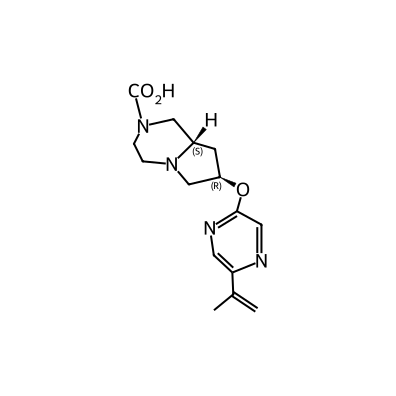 C=C(C)c1cnc(O[C@@H]2C[C@H]3CN(C(=O)O)CCN3C2)cn1